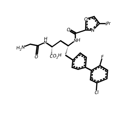 CC(C)c1coc(C(=O)N[C@H](Cc2ccc(-c3cc(Cl)ccc3F)cc2)C[C@@H](NC(=O)CN)C(=O)O)n1